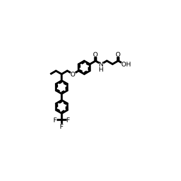 CCC(COc1ccc(C(=O)NCCC(=O)O)cc1)c1ccc(-c2ccc(C(F)(F)F)cc2)cc1